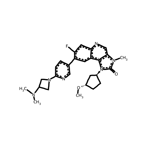 CO[C@H]1CC[C@H](n2c(=O)n(C)c3cnc4cc(F)c(-c5ccc(N6CC(N(C)C)C6)nc5)cc4c32)C1